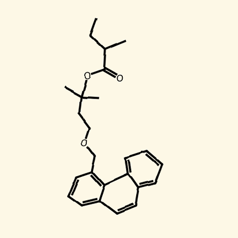 CCC(C)C(=O)OC(C)(C)CCOCc1cccc2ccc3ccccc3c12